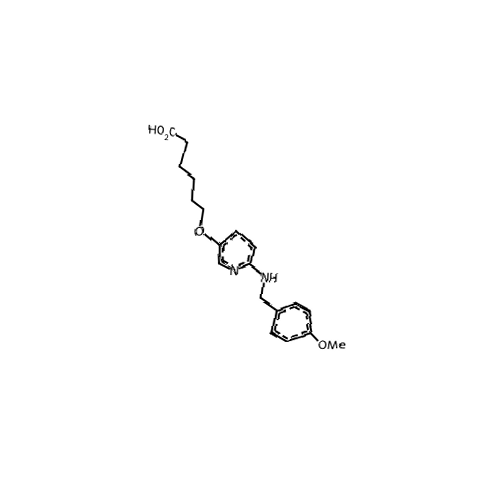 COc1ccc(CNc2ccc(OCCCCCC(=O)O)cn2)cc1